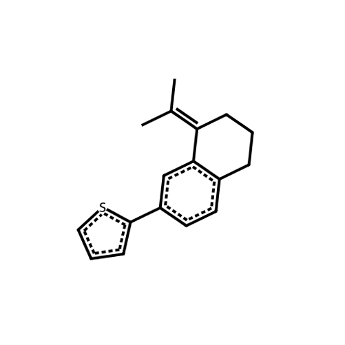 CC(C)=C1CCCc2ccc(-c3cccs3)cc21